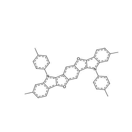 Cc1ccc(-n2c3cc(C)ccc3c3oc4cc5c(cc4c32)oc2c3ccc(C)cc3n(-c3ccc(C)cc3)c52)cc1